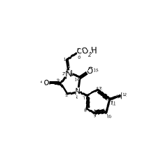 O=C(O)CN1C(=O)CN(c2cccc(I)c2)C1=O